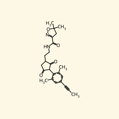 CC#Cc1cc(C)c(C2C(=O)CC(CCNC(=O)C3=NOC(C)(C)C3)C2=O)c(C)c1